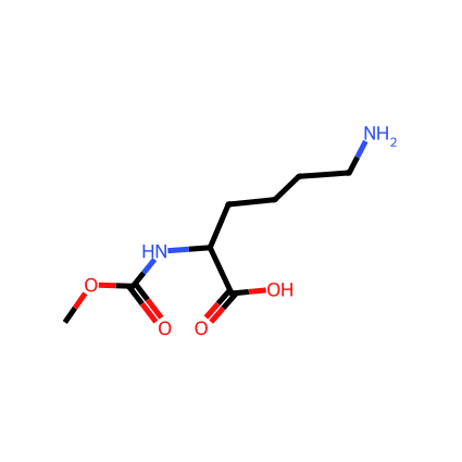 COC(=O)NC(CCCCN)C(=O)O